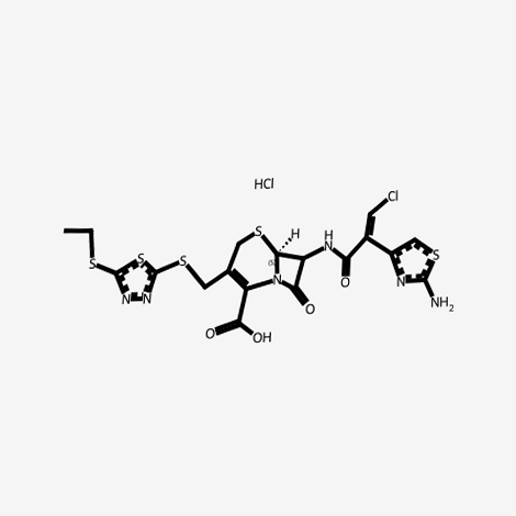 CCSc1nnc(SCC2=C(C(=O)O)N3C(=O)C(NC(=O)C(=CCl)c4csc(N)n4)[C@@H]3SC2)s1.Cl